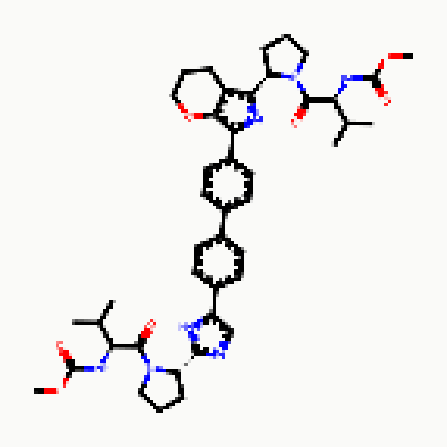 COC(=O)N[C@H](C(=O)N1CCC[C@@H]1c1[nH]c(-c2ccc(-c3ccc(-c4cnc([C@@H]5CCCN5C(=O)[C@@H](NC(=O)OC)C(C)C)[nH]4)cc3)cc2)c2c1CCCO2)C(C)C